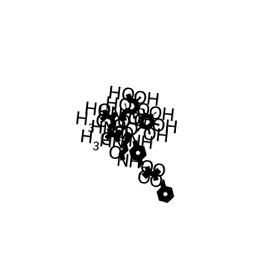 CC(NC(=O)C(NC(=O)[C@H](O)[C@H](O)[C@@H](O[C@@H]1O[C@H](CO)[C@H](O)[C@H](O)[C@H]1O)[C@H](O)CO)C(C)O)C(=O)NC(CC(N)=O)C(=O)Nc1ccc(COC(=O)C(=O)OCc2ccccc2)cc1